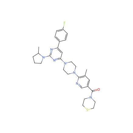 Cc1cc(C(=O)N2CCSCC2)cnc1N1CCN(c2cc(-c3ccc(F)cc3)nc(N3CCCC3C)n2)CC1